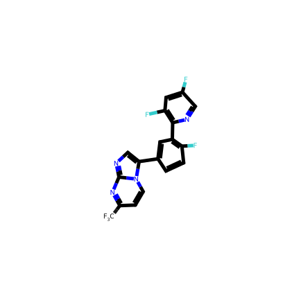 Fc1cnc(-c2cc(-c3cnc4nc(C(F)(F)F)ccn34)ccc2F)c(F)c1